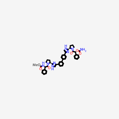 COC(=O)N[C@@H](C(=O)N1CCC[C@H]1c1nc(-c2cccc(-c3ccc(-c4c[nH]c([C@H]5CCCN5C(=O)[C@H](OC(N)=O)c5ccccc5)n4)cc3)c2)c[nH]1)c1ccccc1